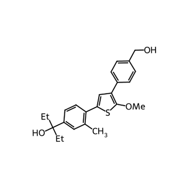 CCC(O)(CC)c1ccc(-c2cc(-c3ccc(CO)cc3)c(OC)s2)c(C)c1